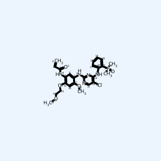 C=CC(=O)Nc1cc(Nc2ncc(Cl)c(Nc3ccccc3P(C)(C)=O)n2)c(OC)cc1OCCOC